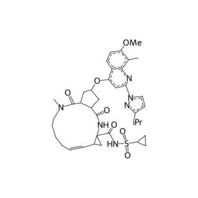 COc1ccc2c(OC3CC4C(=O)NC5(C(=O)NS(=O)(=O)C6CC6)CC5/C=C\CCCCN(C)C(=O)C4C3)cc(-n3ccc(C(C)C)n3)nc2c1C